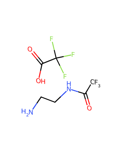 NCCNC(=O)C(F)(F)F.O=C(O)C(F)(F)F